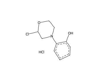 Cl.Oc1ccccc1N1CCOC(Cl)C1